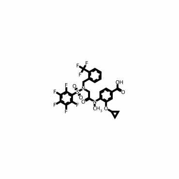 CN(C(=O)CN(Cc1ccccc1C(F)(F)F)S(=O)(=O)c1c(F)c(F)c(F)c(F)c1F)c1ccc(C(=O)O)cc1OC1CC1